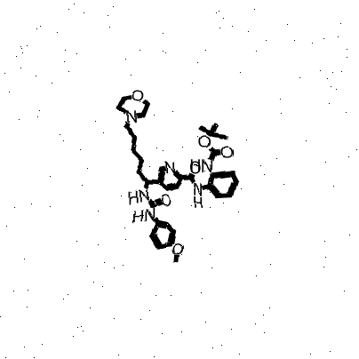 COc1ccc(NC(=O)NC(CCCCCN2CCOCC2)c2ccc(C(=O)Nc3ccccc3NC(=O)OC(C)(C)C)nc2)cc1